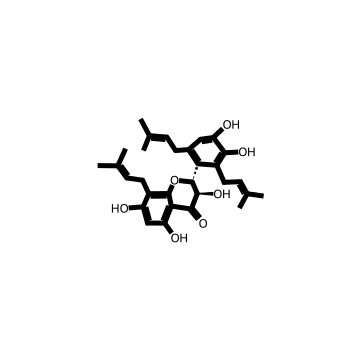 CC(C)=CCc1cc(O)c(O)c(CC=C(C)C)c1[C@H]1Oc2c(CC=C(C)C)c(O)cc(O)c2C(=O)[C@@H]1O